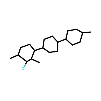 CC1CCC(C2CCC(C3CCC(C)C(F)C3C)CC2)CC1